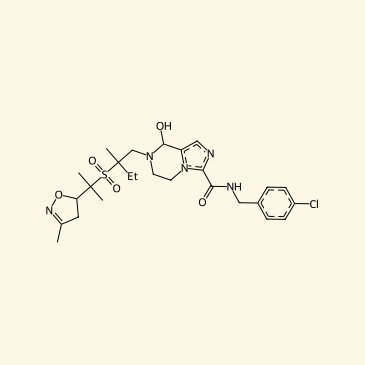 CCC(C)(CN1CCn2c(cnc2C(=O)NCc2ccc(Cl)cc2)C1O)S(=O)(=O)C(C)(C)C1CC(C)=NO1